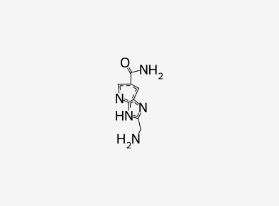 NCc1nc2cc(C(N)=O)cnc2[nH]1